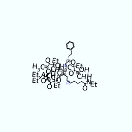 CCNC(=O)CCC/C=C\C[C@@H]1[C@@H](/C=C/[C@H](CCc2ccccc2)OC(C)(CC)C(=O)[C@H](C)O)[C@H](OC(C)(CC)C(=O)[C@H](C)O)C[C@@H]1OC(C)(CC)C(=O)[C@H](C)OC(CC)(CC)C(C)=O